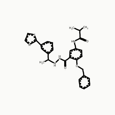 CC(C)C(=O)Nc1ccc(OCc2ccccc2)c(C(=O)NNC(C)c2cccc(-c3nccs3)c2)c1